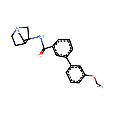 COc1cccc(-c2cccc(C(=O)NC3CN4CCC3CC4)c2)c1